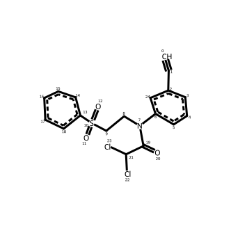 C#Cc1cccc(N(CCS(=O)(=O)c2ccccc2)C(=O)C(Cl)Cl)c1